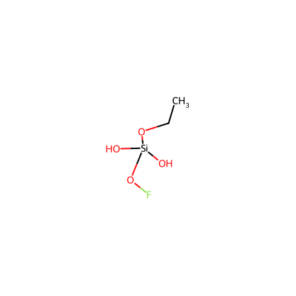 CCO[Si](O)(O)OF